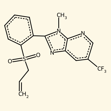 C=CCS(=O)(=O)c1ccccc1-c1nc2cc(C(F)(F)F)cnc2n1C